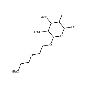 CCC1OC(OCCOCCOCC(C)C)C(NC(C)=O)C(OC(C)=O)C1C